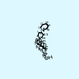 O=S(=O)(N1CCC(N2CCCCC2)CC1)C(F)(F)C(F)(F)C(F)(F)SOOO